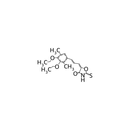 CCOc1c(C)cc(C=CC=C2OC(=S)NC2=O)c(C)c1OCC